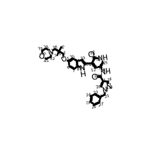 CC(C)(COc1ccc2[nH]c(-c3cc(NC(=O)c4cnn(Cc5ccccc5)c4)c[nH]c3=O)cc2c1)CN1CCOCC1